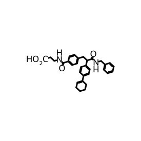 O=C(O)CCNC(=O)c1ccc(CC(C(=O)NCc2ccccc2)c2ccc(C3=CCCCC3)cc2)cc1